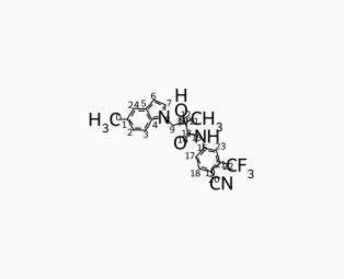 Cc1ccc2c(ccn2C[C@](C)(O)C(=O)Nc2ccc(C#N)c(C(F)(F)F)c2)c1